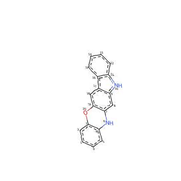 c1ccc2c(c1)Nc1cc3[nH]c4ccccc4c3cc1O2